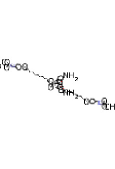 COC(=O)/C=C/c1ccc(OCCCCCCCCCCCOC(=O)C(Cc2ccc(N)cc2)(Cc2ccc(N)cc2)C(=O)OCCCCCCCCCCCOc2ccc(/C=C/C(=O)OC)cc2)cc1